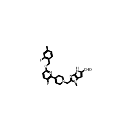 Cc1ccc(COc2ccc(F)c(C3=CCN(Cc4nc5[nH]c(C=O)cc5n4C)CC3)n2)c(F)c1